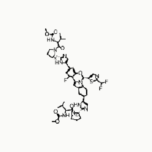 COC(=O)NC(C(=O)N1CCC[C@H]1c1ncc(-c2cc(F)c3c(c2)OC(c2cnc(C(F)F)s2)n2c-3cc3cc(-c4cnc([C@@H]5CCCN5C(=O)C(NC(=O)OC)C(C)C)[nH]4)ccc32)[nH]1)C(C)C